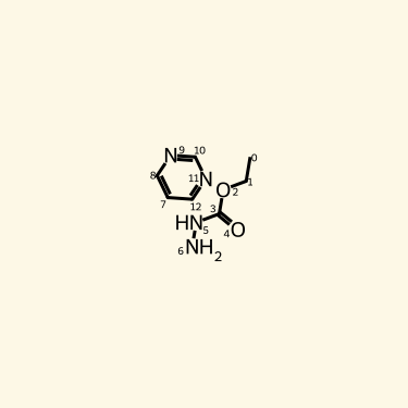 CCOC(=O)NN.c1cncnc1